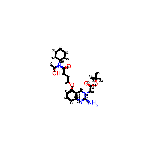 CC(O)N(C(=O)CCCOc1cccc2c1CN(CC(=O)OC(C)(C)C)C(N)=N2)C1CCCCC1